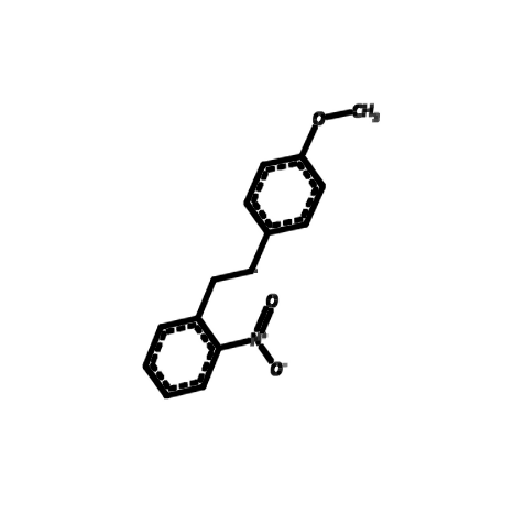 COc1ccc([CH]Cc2ccccc2[N+](=O)[O-])cc1